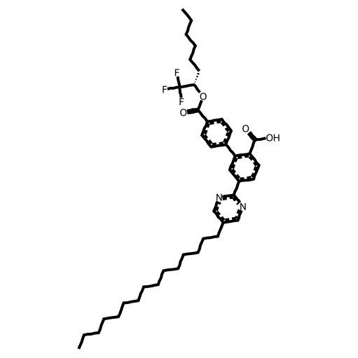 CCCCCCCCCCCCCCCc1cnc(-c2ccc(C(=O)O)c(-c3ccc(C(=O)O[C@@H](CCCCCC)C(F)(F)F)cc3)c2)nc1